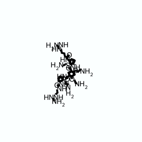 N=C(N)NCCCCC(=O)Nc1cccc(NC(=O)c2cc(C(=O)Nc3cccc(NC(=O)NCCCNC(=N)N)c3SCCN)c(OCCN)cc2OCCN)c1SCCN